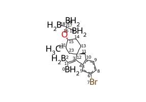 BC(B)=C1c2cc(Br)ccc2C[C@@]12CC[C@H](OC(B)(B)B)[C@@H](C)C2